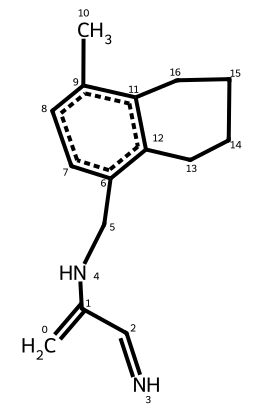 C=C(C=N)NCc1ccc(C)c2c1CCCC2